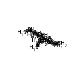 CCCC(c1ccc(C(C)(C)c2ccc(-c3ccc(C)cc3)cc2)cc1)(c1ccc(C(C)(C)c2ccc(C(C)(C)c3ccc(-c4ccc(N(C)c5ccc(CC)cc5)cc4)cc3)cc2)cc1)c1ccc(C(C)(C)c2ccc(C(C)(C)c3ccc(-c4ccc(N(C)c5ccc(CC)cc5)cc4)cc3)cc2)cc1